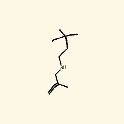 C=C(C)CNCCC(C)(C)C